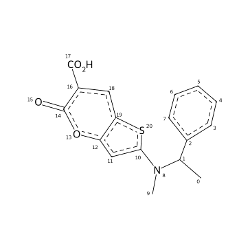 CC(c1ccccc1)N(C)c1cc2oc(=O)c(C(=O)O)cc2s1